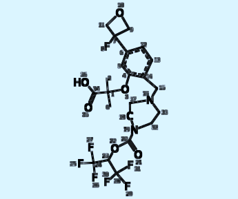 CC(C)(Oc1cc(C2(F)COC2)ccc1CN1CCN(C(=O)OC(C(F)(F)F)C(F)(F)F)CC1)C(=O)O